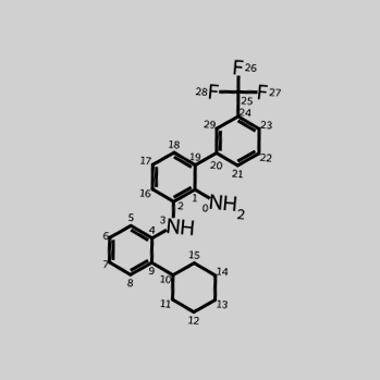 Nc1c(Nc2ccccc2C2CCCCC2)cccc1-c1cccc(C(F)(F)F)c1